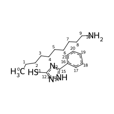 CCCCCCCCCCN.Sc1n[nH]c(-c2ccccc2)n1